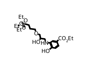 CCOC(=O)c1ccc(O)c(NCC(O)COCCC[Si](OCC)(OCC)OCC)c1